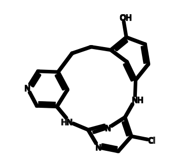 Oc1ccc2cc1CCc1cncc(c1)Nc1ncc(Cl)c(n1)N2